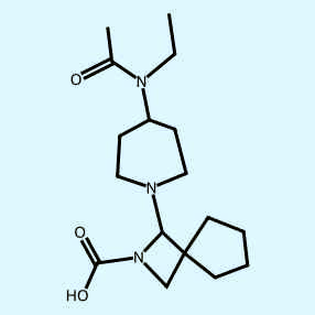 CCN(C(C)=O)C1CCN(C2N(C(=O)O)CC23CCCC3)CC1